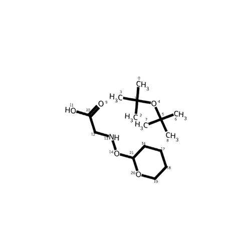 CC(C)(C)OC(C)(C)C.O=C(O)CNOC1CCCCO1